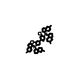 Cc1ccc2c(N(c3ccc(-c4ccc(N(c5cccc6cc(C)ccc56)c5cccc6cc(C)ccc56)c(Cl)c4)cc3Cl)c3cccc4cc(C)ccc34)cccc2c1